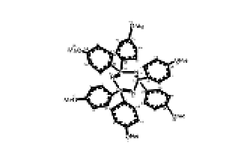 COc1ccc(P2(c3ccc(OC)cc3)=NP(c3ccc(OC)cc3)(c3ccc(OC)cc3)=NP(c3ccc(OC)cc3)(c3ccc(OC)cc3)=N2)cc1